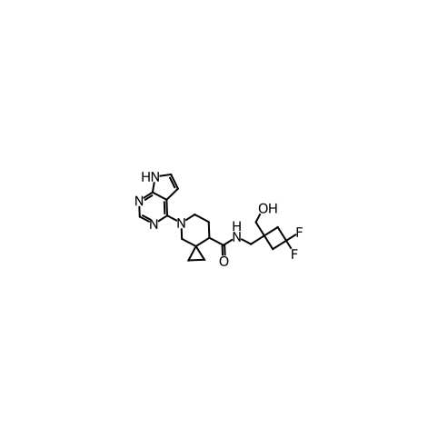 O=C(NCC1(CO)CC(F)(F)C1)C1CCN(c2ncnc3[nH]ccc23)CC12CC2